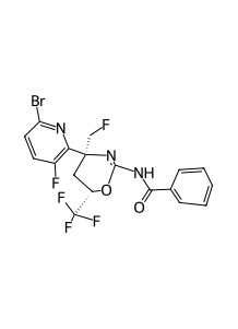 O=C(NC1=N[C@](CF)(c2nc(Br)ccc2F)C[C@@H](C(F)(F)F)O1)c1ccccc1